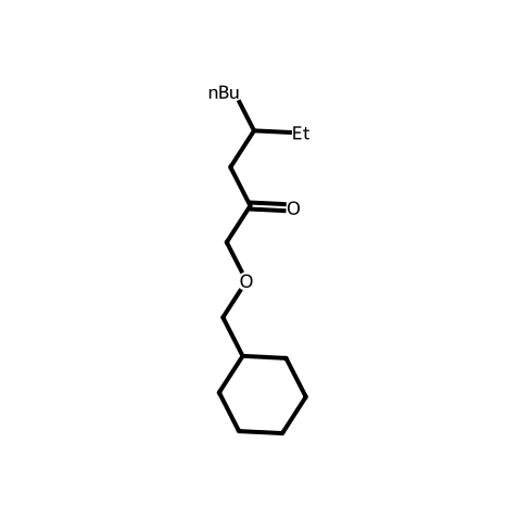 CCCCC(CC)CC(=O)COCC1CCCCC1